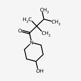 CC(C)C(C)(C)C(=O)N1CCC(O)CC1